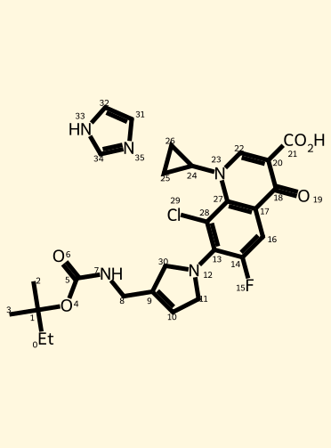 CCC(C)(C)OC(=O)NCC1=CCN(c2c(F)cc3c(=O)c(C(=O)O)cn(C4CC4)c3c2Cl)C1.c1c[nH]cn1